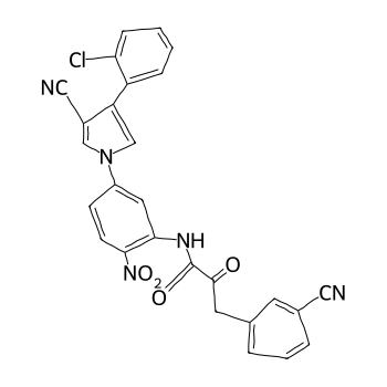 N#Cc1cccc(CC(=O)C(=O)Nc2cc(-n3cc(C#N)c(-c4ccccc4Cl)c3)ccc2[N+](=O)[O-])c1